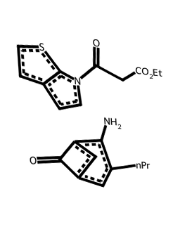 CCCc1cc2cc(c1N)C2=O.CCOC(=O)CC(=O)n1ccc2ccsc21